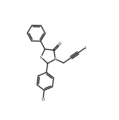 O=C1C(c2ccccc2)SC(c2ccc(Cl)cc2)N1CC#CI